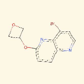 Brc1ccnc2ccc(OC3COC3)nc12